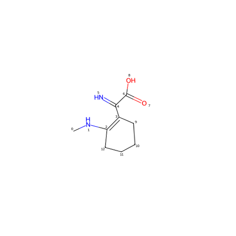 CNC1=C(C(=N)C(=O)O)CCCC1